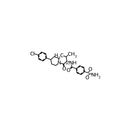 CC(C)[C@@H](NC(=O)c1ccc(S(N)(=O)=O)cc1)C(=O)N1CCC(c2ccc(Cl)cc2)CC1